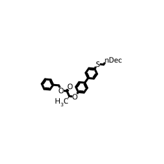 CCCCCCCCCCCSc1ccc(-c2ccc(O[C@H](C)C(=O)OCc3ccccc3)cc2)cc1